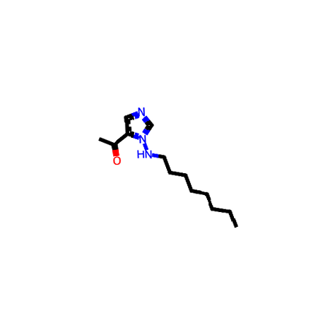 CCCCCCCCNn1cncc1C(C)=O